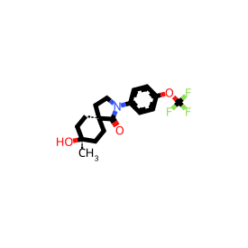 C[C@]1(O)CC[C@@]2(CCN(c3ccc(OC(F)(F)F)cc3)C2=O)CC1